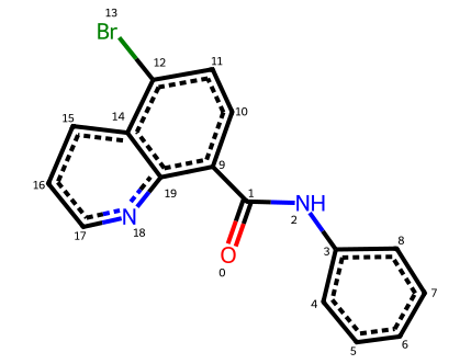 O=C(Nc1ccccc1)c1ccc(Br)c2cccnc12